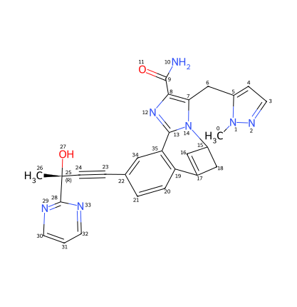 Cn1nccc1Cc1c(C(N)=O)nc2n1C1C=C(C1)c1ccc(C#C[C@@](C)(O)c3ncccn3)cc1-2